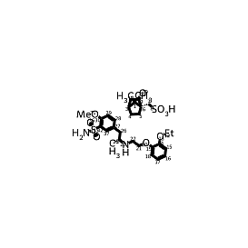 CC1(C)C2CC[C@]1(CS(=O)(=O)O)C(=O)C2.CCOc1ccccc1OCCN[C@H](C)Cc1ccc(OC)c(S(N)(=O)=O)c1